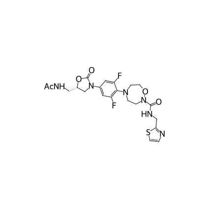 CC(=O)NC[C@H]1CN(c2cc(F)c(N3CCON(C(=O)NCc4nccs4)CC3)c(F)c2)C(=O)O1